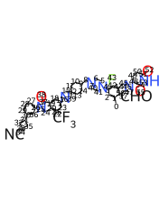 Cc1cc(N2CCN(CC3CCC4(CC3)CN(c3cc5c(c(C(F)(F)F)c3)CN(c3cccc(C6CC(C#N)C6)c3)C5=O)C4)CC2)c(F)c(CN(C)C2CCC(=O)NC2=O)c1C=O